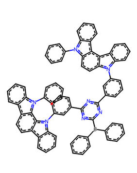 c1ccc(B(c2ccccc2)c2nc(-c3cccc(-n4c5ccccc5c5c6c7ccccc7n(-c7ccccc7)c6ccc54)c3)nc(-c3cccc(-n4c5ccccc5c5ccc6c7ccccc7n(-c7ccccc7)c6c54)c3)n2)cc1